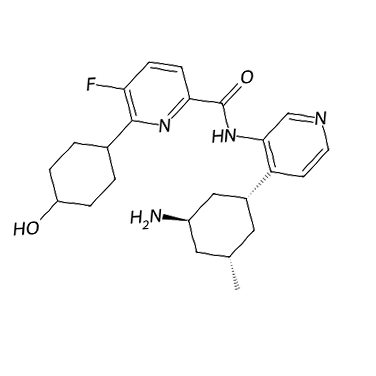 C[C@@H]1C[C@@H](N)C[C@H](c2ccncc2NC(=O)c2ccc(F)c(C3CCC(O)CC3)n2)C1